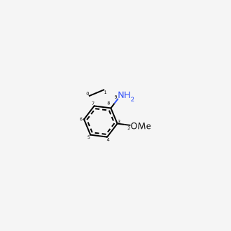 CC.COc1ccccc1N